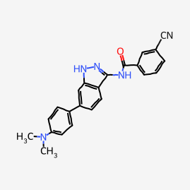 CN(C)c1ccc(-c2ccc3c(NC(=O)c4cccc(C#N)c4)n[nH]c3c2)cc1